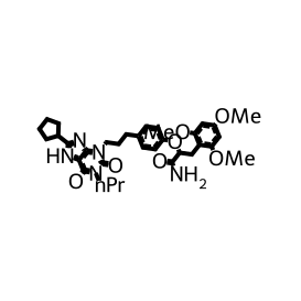 CCCn1c(=O)c2[nH]c(C3CCCC3)nc2n(CCCc2ccc(OC(Cc3c(OC)cc(OC)cc3OC)C(N)=O)cc2)c1=O